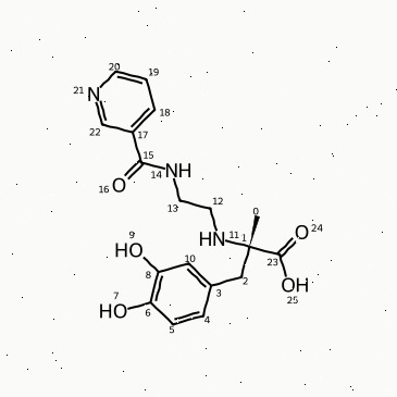 C[C@@](Cc1ccc(O)c(O)c1)(NCCNC(=O)c1cccnc1)C(=O)O